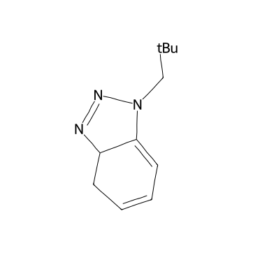 CC(C)(C)CN1N=NC2CC=CC=C21